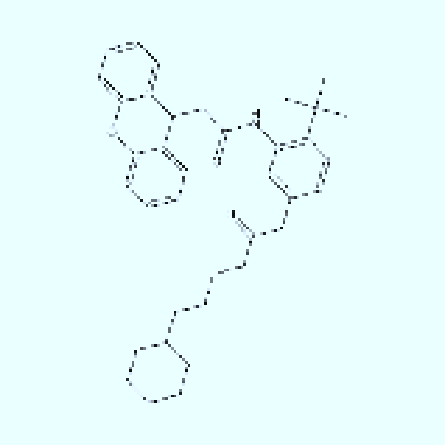 CC(C)(C)c1ccc(CC(=O)CCCCC2CCCCC2)cc1NC(=O)CC1c2ccccc2Oc2ccccc21